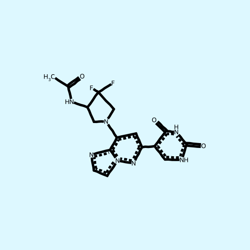 CC(=O)NC1CN(c2cc(-c3c[nH]c(=O)[nH]c3=O)nn3ccnc23)CC1(F)F